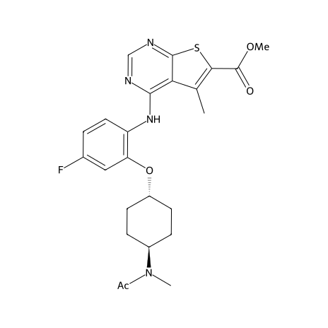 COC(=O)c1sc2ncnc(Nc3ccc(F)cc3O[C@H]3CC[C@H](N(C)C(C)=O)CC3)c2c1C